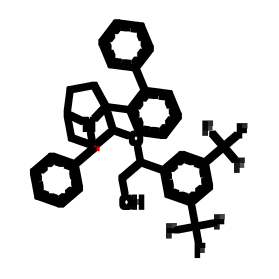 OCC(OC1CCC2CCC1(c1ccccc1-c1ccccc1)N2Cc1ccccc1)c1cc(C(F)(F)F)cc(C(F)(F)F)c1